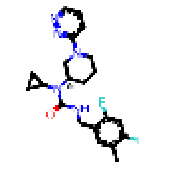 Cc1cc(CNC(=O)N(C2CC2)[C@@H]2CCCN(c3cccnn3)C2)c(F)cc1F